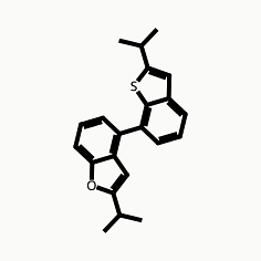 CC(C)c1cc2c(-c3cccc4cc(C(C)C)sc34)cccc2o1